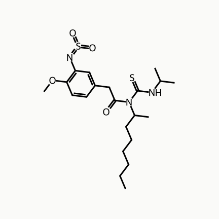 CCCCCCC(C)N(C(=O)Cc1ccc(OC)c(N=S(=O)=O)c1)C(=S)NC(C)C